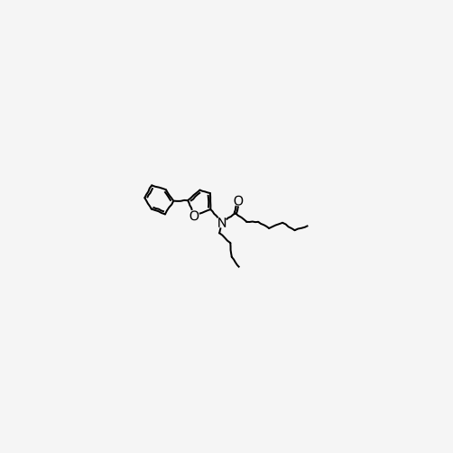 CCCCCCC(=O)N(CCCC)c1ccc(-c2ccccc2)o1